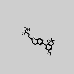 CC1(C)Cc2cc(Cl)cc(-c3ccc4c(c3)CCC(CCC(=O)O)S4)c2O1